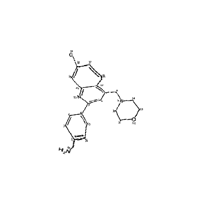 Nc1ccc(-c2cc(CN3CCOCC3)c3ccc(Cl)cc3n2)cc1